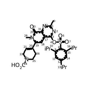 Cc1nc(OS(=O)(=O)c2c(C(C)C)cc(C(C)C)cc2C(C)C)c2cc(C3=CCN(C(=O)O)CC3)n(C)c(=O)c2n1